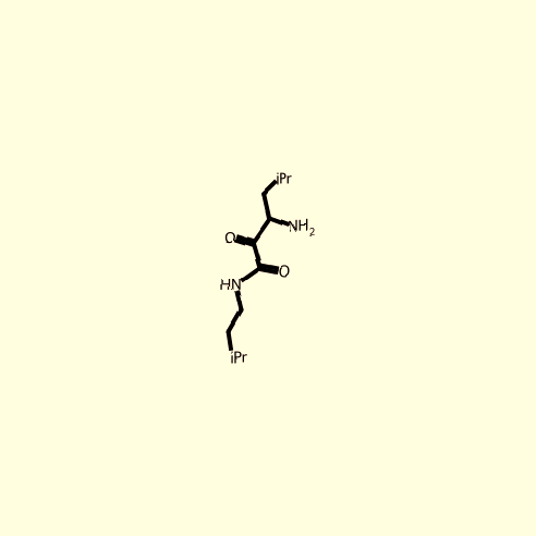 CC(C)CCNC(=O)C(=O)C(N)CC(C)C